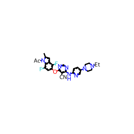 CCN1CCN(c2ccc(Nc3ncnc(Oc4cc(F)c5c(cc(C)n5C(C)=O)c4F)c3C#N)nc2)CC1